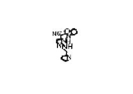 N#CC(=C1Nc2ccccc2O1)c1ccnc(NCCc2ccccn2)n1